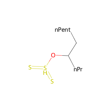 CCCCCCC(CCC)O[SH](=S)=S